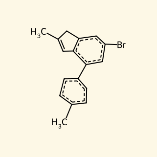 CC1=Cc2c(cc(Br)cc2-c2ccc(C)cc2)C1